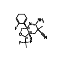 CC1(C#N)C[C@@H]2[C@@H](C(C)(F)F)OC[C@]2(c2ccccc2F)N=C1N